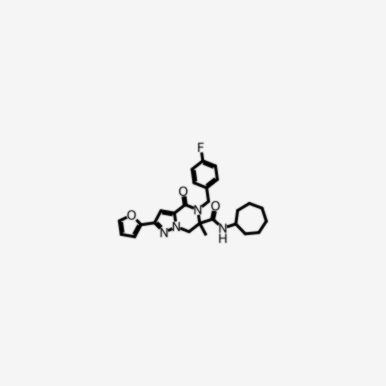 CC1(C(=O)NC2CCCCCC2)Cn2nc(-c3ccco3)cc2C(=O)N1Cc1ccc(F)cc1